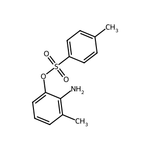 Cc1ccc(S(=O)(=O)Oc2cccc(C)c2N)cc1